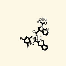 CCCCN(C)C(=O)n1cc(C(=O)N[C@@H](Cc2cc(F)cc(F)c2)[C@H](O)C2Cc3ccccc3CN2)c2cccnc21